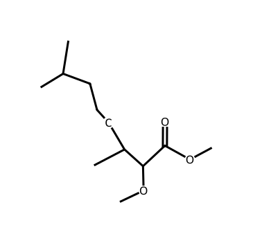 COC(=O)C(OC)C(C)CCCC(C)C